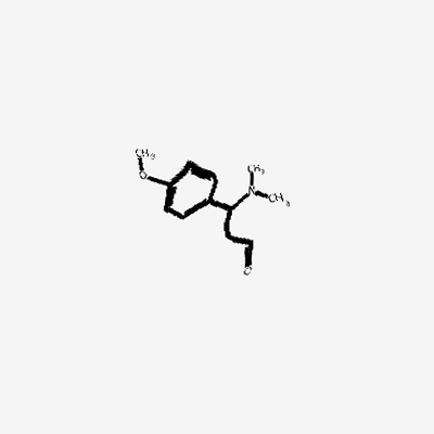 COc1ccc(C(CC=O)N(C)C)cc1